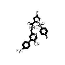 N#Cc1cnc(CNC(=O)C2CC(F)CN2S(=O)(=O)c2ccc(F)cc2)cc1-c1ccc(C(F)(F)F)cc1